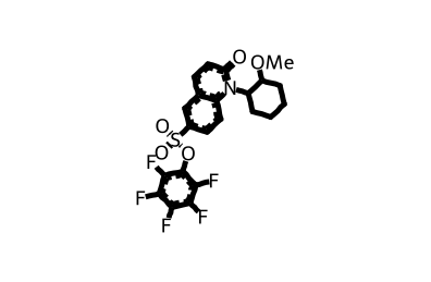 COC1CCCCC1n1c(=O)ccc2cc(S(=O)(=O)Oc3c(F)c(F)c(F)c(F)c3F)ccc21